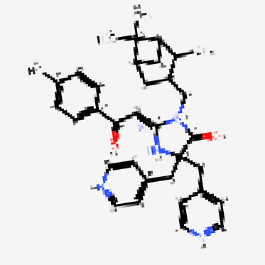 CC1C(CN2C(=O)C(Cc3ccncc3)(Cc3ccncc3)N/C2=C\C(=O)c2ccc(C#N)cc2)CC2CC1C2(C)C